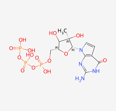 C[C@@]1(O)C(O)[C@@H](COP(=O)(O)OP(=O)(O)OP(=O)(O)O)O[C@H]1n1ccc2c(=O)[nH]c(N)nc21